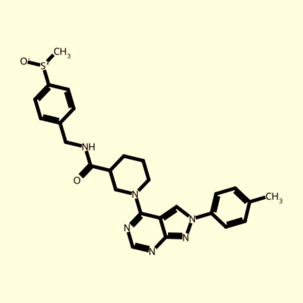 Cc1ccc(-n2cc3c(N4CCCC(C(=O)NCc5ccc([S+](C)[O-])cc5)C4)ncnc3n2)cc1